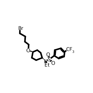 CCN([C@H]1CC[C@H](OCCCCBr)CC1)S(=O)(=O)c1ccc(C(F)(F)F)cc1